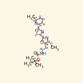 CCc1nc(C2COC(c3cccc(C)n3)=N2)oc1CCNC(=O)OC(C)(C)C